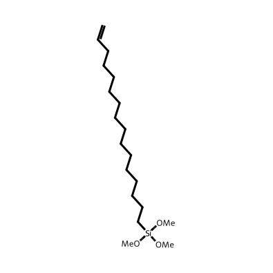 C=CCCCCCCCCCCCCCC[Si](OC)(OC)OC